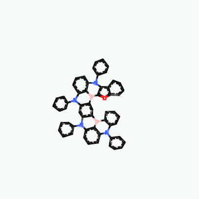 c1ccc(N2c3ccccc3B3c4cc5c(cc4N(c4ccccc4)c4cccc2c43)N(c2ccccc2)c2cccc3c2B5c2oc4ccccc4c2N3c2ccccc2)cc1